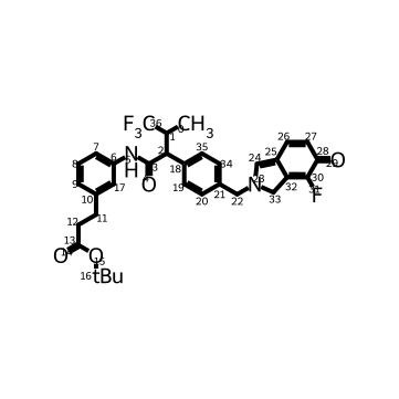 CC(C(C(=O)Nc1cccc(CCC(=O)OC(C)(C)C)c1)c1ccc(CN2C=C3C=CC(=O)C(F)=C3C2)cc1)C(F)(F)F